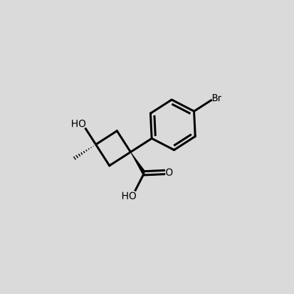 C[C@]1(O)C[C@](C(=O)O)(c2ccc(Br)cc2)C1